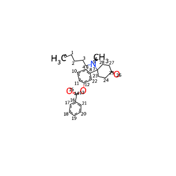 CCCCCN(C)C1(c2cccc(OC(=O)c3ccccc3)c2)CCC(=O)CC1